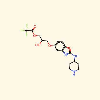 O=C(OCC(O)COc1ccc2oc(NC3CCNCC3)nc2c1)C(F)(F)F